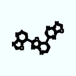 [c]1cc(-c2nc3nccc(-c4cnc5ncoc5n4)c3o2)c2ocnc2n1